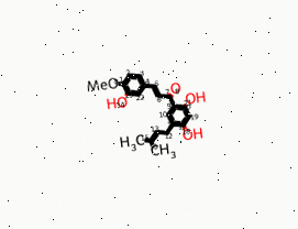 COc1ccc(/C=C/C(=O)c2cc(CC=C(C)C)c(O)cc2O)cc1O